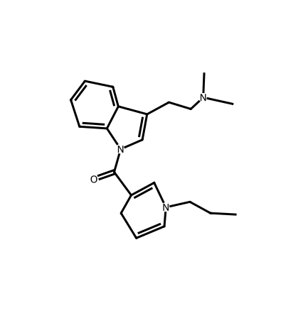 CCCN1C=CCC(C(=O)n2cc(CCN(C)C)c3ccccc32)=C1